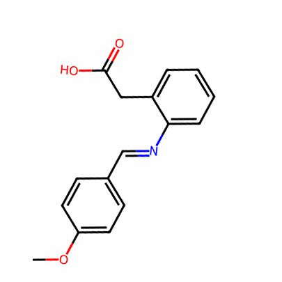 COc1ccc(C=Nc2ccccc2CC(=O)O)cc1